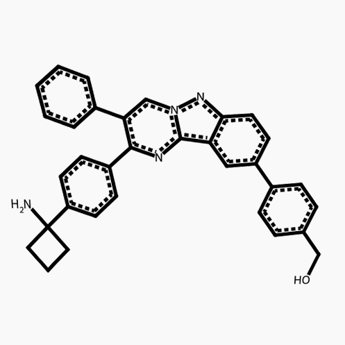 NC1(c2ccc(-c3nc4c5cc(-c6ccc(CO)cc6)ccc5nn4cc3-c3ccccc3)cc2)CCC1